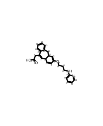 O=C(O)CC1=CC2C=CC(OCCCNc3ccccn3)=CC2Cc2ccccc21